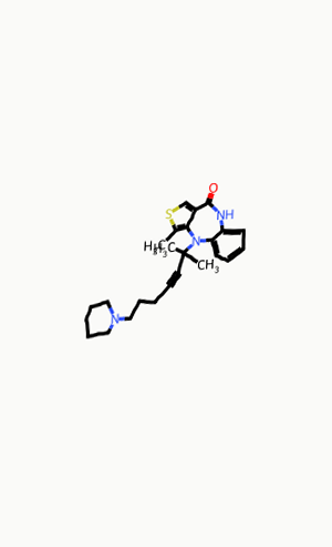 Cc1scc2c1N(C(C)(C)C#CCCCN1CCCCC1)c1ccccc1NC2=O